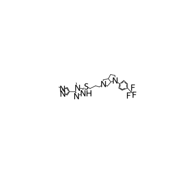 CN1C(c2cnn(C)c2)=NNC1SCCCN1CC2CCN(c3ccc(C(F)(F)F)cc3)C2C1